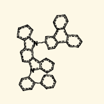 c1ccc(-c2ccccc2-n2c3ccccc3c3c2ccc2c4ccccc4n(-c4ccc5c6ccccc6c6ccccc6c5c4)c23)cc1